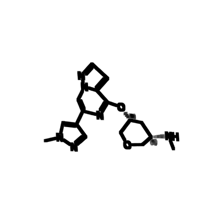 CN[C@@H]1COC[C@H](Oc2nc(-c3cnn(C)c3)cn3nccc23)C1